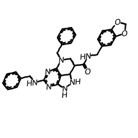 O=C(NCc1ccc2c(c1)OCO2)C1CN(Cc2ccccc2)c2nc(NCc3ccccc3)nc3c2C1NN3